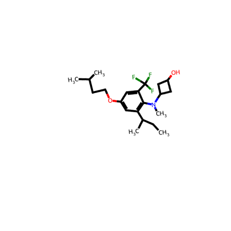 CCC(C)c1cc(OCCC(C)C)cc(C(F)(F)F)c1N(C)C1CC(O)C1